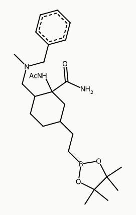 CC(=O)NC1(C(N)=O)CC(CCB2OC(C)(C)C(C)(C)O2)CCC1CN(C)Cc1ccccc1